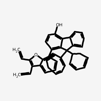 C=Cc1oc2c(-c3ccc(O)c4c3C(C3=CC=CCC#C3)(C3C=CC=CC3)c3ccccc3-4)cccc2c1C=C